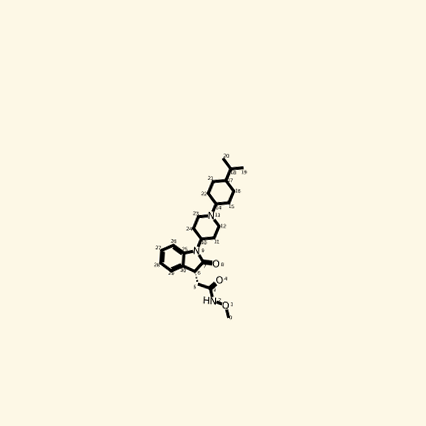 CONC(=O)C[C@H]1C(=O)N(C2CCN(C3CCC(C(C)C)CC3)CC2)c2ccccc21